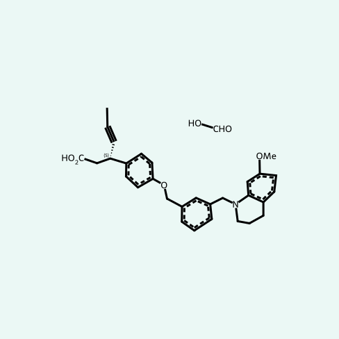 CC#C[C@@H](CC(=O)O)c1ccc(OCc2cccc(CN3CCCc4ccc(OC)cc43)c2)cc1.O=CO